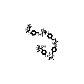 CCCC(C)(N=[N+]=[N-])Oc1ccc(/C=N/N(C)[PH](=S)C(C)(C)Oc2ccc(/C=N/N(C)[PH](=S)Oc3ccc(/C=N/N(C)C(C)[PH](=S)Oc4ccc(C(O)P(=O)(OC)OC)cc4)cc3)cc2)cc1